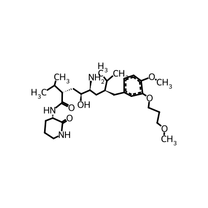 COCCCOc1cc(C[C@@H](C[C@H](N)[C@@H](O)C[C@H](C(=O)N[C@H]2CCCNC2=O)C(C)C)C(C)C)ccc1OC